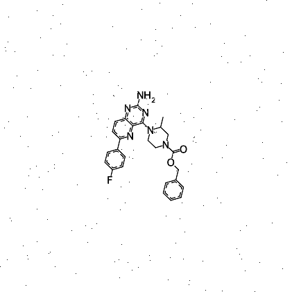 CC1CN(C(=O)OCc2ccccc2)CCN1c1nc(N)nc2ccc(-c3ccc(F)cc3)nc12